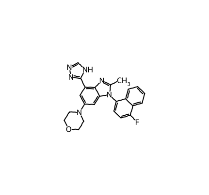 Cc1nc2c(-c3nnc[nH]3)cc(N3CCOCC3)cc2n1-c1ccc(F)c2ccccc12